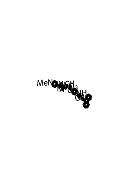 CNc1ccc(-c2nnc(CN(C)C(=O)Oc3ccc(NC(=O)OCC4c5ccccc5-c5ccccc54)cc3)nn2)cc1